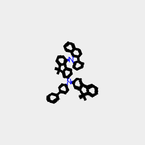 CC1(C)c2ccccc2-c2ccc(N(c3ccc(-c4ccccc4)cc3)c3ccc4c(c3)C(C)(C)c3cccc(-n5c6ccccc6c6ccc7ccccc7c65)c3-4)cc21